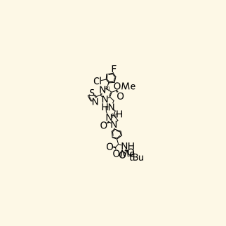 COC(=O)C1=C(CN2CCN3C(=O)N(c4ccc(C(NC(=O)OC(C)(C)C)C(=O)OC)cc4)C[C@@H]3C2)NC(c2nccs2)=N[C@H]1c1ccc(F)cc1Cl